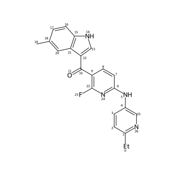 CCc1ccc(Nc2ccc(C(=O)c3c[nH]c4ccc(C)cc34)c(F)n2)cn1